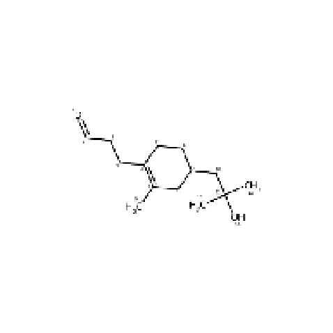 CC1=C(CCC=O)CCC(CC(C)(C)O)C1